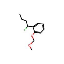 CCCC(F)c1ccccc1OCOC